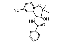 CC1(C)Oc2ccc(C#N)cc2[C@@H](NC(=O)c2ccccc2)[C@@H]1O